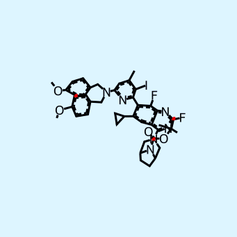 COc1ccc(CN(Cc2ccc(OC)cc2)c2cc(C)c(I)c(-c3c(C4CC4)cc4c(N5CC6CCC(C5)N6C(=O)OC(C)(C)C)nc(F)nc4c3F)n2)cc1